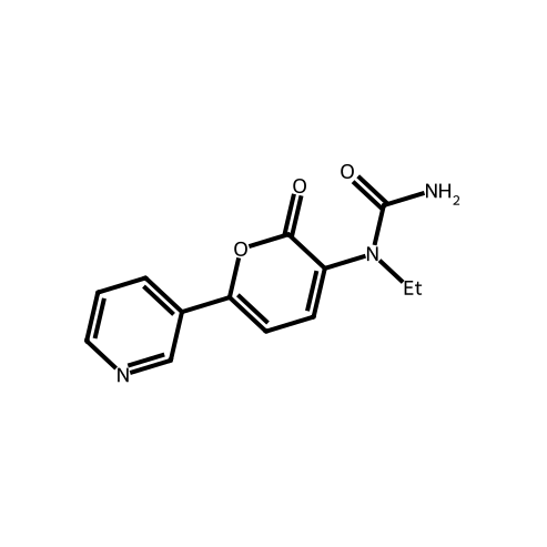 CCN(C(N)=O)c1ccc(-c2cccnc2)oc1=O